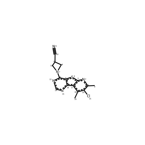 Cc1nc2sc3c(N4CC(C#N)C4)ncnc3c2c(C)c1Cl